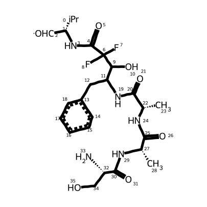 CC(C)[C@@H]([C]=O)NC(=O)C(F)(F)C(O)C(Cc1ccccc1)NC(=O)[C@H](C)NC(=O)[C@H](C)NC(=O)[C@@H](N)CO